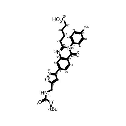 CC(C)(C)OC(=O)NCc1cc(-c2ccc3c(=O)n(-c4ccc(F)cc4)c(CCCCC(=O)O)nc3c2)no1